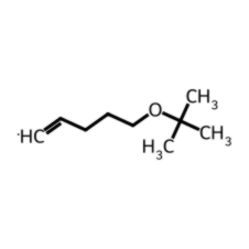 [CH]=CCCCOC(C)(C)C